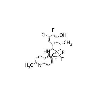 Cc1ccc2c(NC3c4cc(Cl)c(F)c(O)c4[C@H](C)C[C@]3(C)C(F)(F)F)cccc2n1